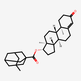 CC12CC3CC(C1)CC(C(=O)O[C@H]1CC[C@H]4[C@@H]5CCC6=CC(=O)CC[C@]6(C)[C@H]5CC[C@]14C)(C3)C2